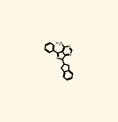 Nc1ncnc2c1C(c1ccccc1)=NC2C1Cc2ccccc2C1